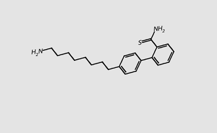 NCCCCCCCCc1ccc(-c2ccccc2C(N)=S)cc1